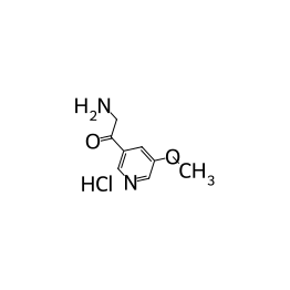 COc1cncc(C(=O)CN)c1.Cl